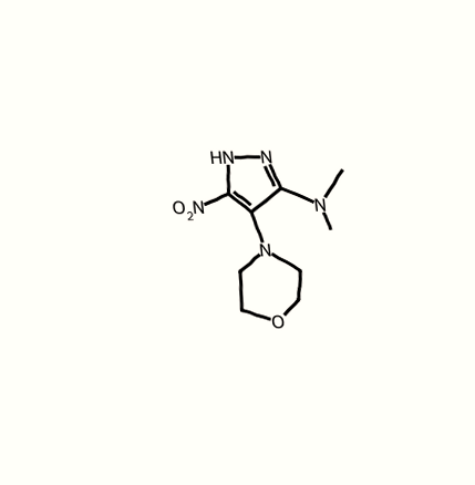 CN(C)c1n[nH]c([N+](=O)[O-])c1N1CCOCC1